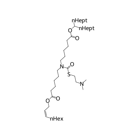 CCCCCC/C=C\COC(=O)CCCCCN(CCCCCC(=O)OC(CCCCCCC)CCCCCCC)C(=O)SCCN(C)C